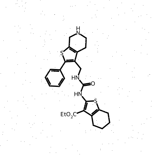 CCOC(=O)c1c(NC(=O)NCc2c(-c3ccccc3)sc3c2CCNC3)sc2c1CCCC2